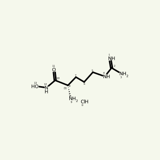 Cl.N=C(N)NCCC[C@H](N)C(=O)NO